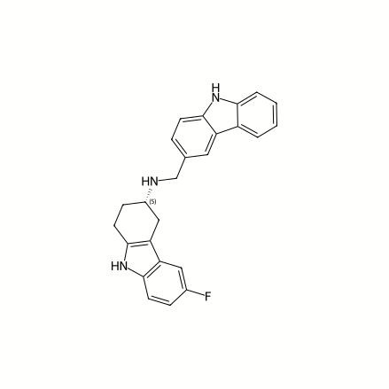 Fc1ccc2[nH]c3c(c2c1)C[C@@H](NCc1ccc2[nH]c4ccccc4c2c1)CC3